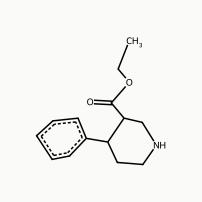 CCOC(=O)C1CNCCC1c1ccccc1